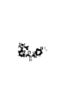 CC(C)n1cnnc1-c1cccc(NC(=O)Nc2nc3ccc(N)cc3s2)n1